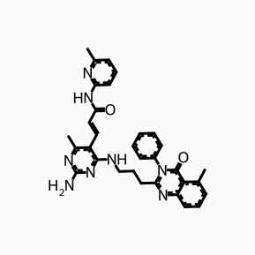 Cc1cccc(NC(=O)/C=C/c2c(C)nc(N)nc2NCCCc2nc3cccc(C)c3c(=O)n2-c2ccccc2)n1